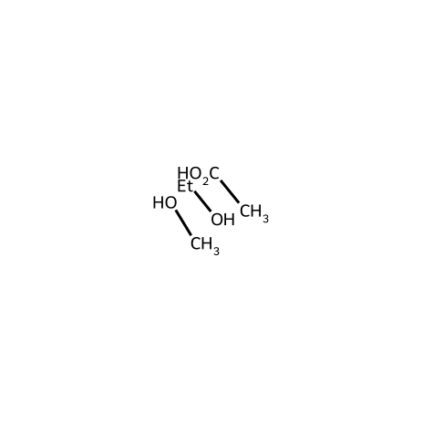 CC(=O)O.CCO.CO